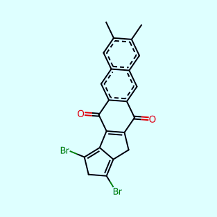 Cc1cc2cc3c(cc2cc1C)C(=O)C1=C(CC2=C(Br)CC(Br)=C21)C3=O